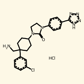 Cl.NCC1(c2cccc(Cl)c2)CCC(N2CCN(c3ccc(-c4nnn[nH]4)cc3)C2=O)CC1